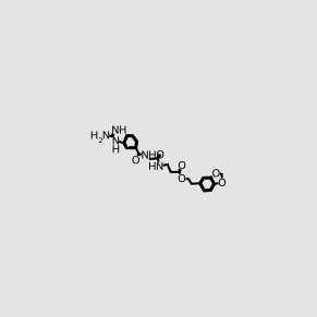 N=C(N)Nc1cccc(C(=O)NCC(=O)NCCC(=O)OCCc2ccc3c(c2)OCO3)c1